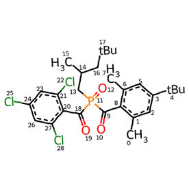 Cc1cc(C(C)(C)C)cc(C)c1C(=O)P(=O)(CC(C)CC(C)(C)C)C(=O)c1c(Cl)cc(Cl)cc1Cl